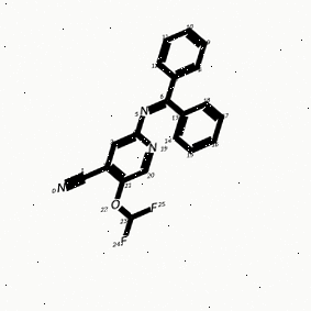 N#Cc1cc(N=C(c2ccccc2)c2ccccc2)ncc1OC(F)F